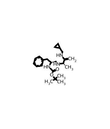 C=C(NCC1CC1)[C@H](C)NC[C@H](Cc1ccccc1)NC(=O)OC(C)(C)C